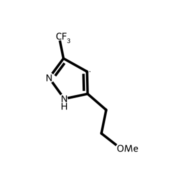 COCCc1[c]c(C(F)(F)F)n[nH]1